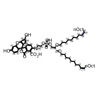 CCCCCCCC/C=C\CCCCCCCCOC[C@H](COP(=O)(O)OCCNc1ccc2c(c1C(=O)O)C(=O)OC21c2ccc(O)cc2Oc2cc(O)ccc21)OCCCCCCCC/C=C\CCCCCCCC